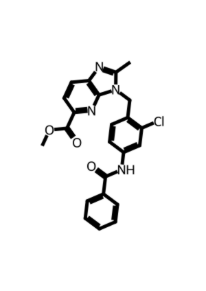 COC(=O)c1ccc2nc(C)n(Cc3ccc(NC(=O)c4ccccc4)cc3Cl)c2n1